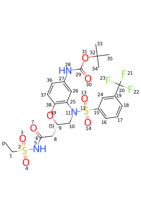 CCS(=O)(=O)NC(=O)C[C@H]1CN(S(=O)(=O)c2cccc(C(F)(F)F)c2)c2cc(NC(=O)OC(C)(C)C)ccc2O1